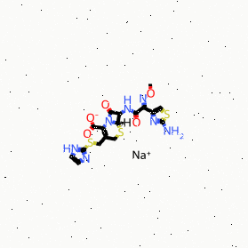 CON=C(C(=O)NC1C(=O)N2C(C(=O)[O-])=C(CSc3ncc[nH]3)CS[C@@H]12)c1csc(N)n1.[Na+]